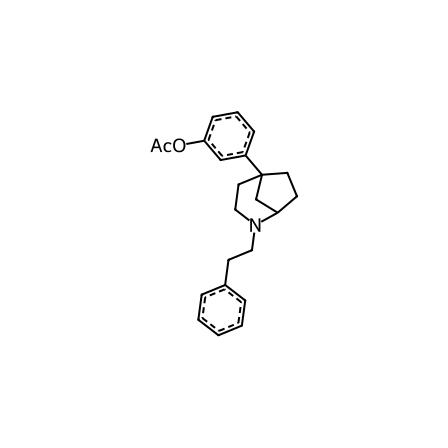 CC(=O)Oc1cccc(C23CCC(C2)N(CCc2ccccc2)CC3)c1